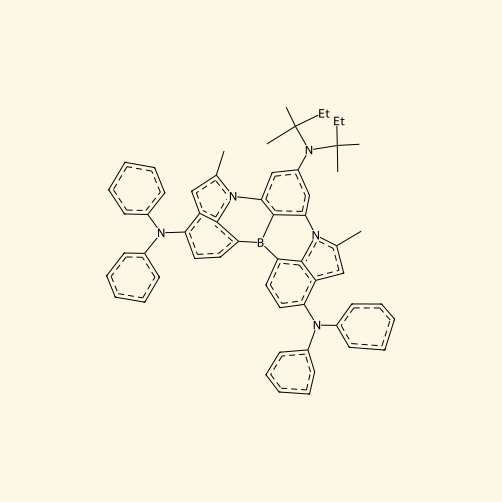 CCC(C)(C)N(c1cc2c3c(c1)-n1c(C)cc4c(N(c5ccccc5)c5ccccc5)ccc(c41)B3c1ccc(N(c3ccccc3)c3ccccc3)c3cc(C)n-2c13)C(C)(C)CC